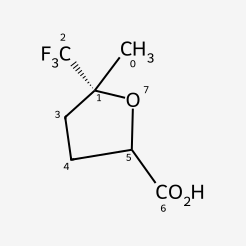 C[C@]1(C(F)(F)F)CCC(C(=O)O)O1